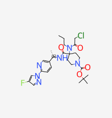 CCCN(C(=O)CCl)C1(C(=O)N[C@@H](C)c2ccc(-n3cc(F)cn3)nc2)CCN(C(=O)OC(C)(C)C)CC1